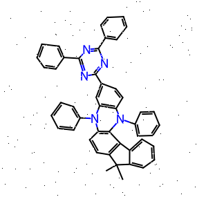 CC1(C)c2ccccc2-c2c1ccc1c2N(c2ccccc2)c2ccc(-c3nc(-c4ccccc4)nc(-c4ccccc4)n3)cc2N1c1ccccc1